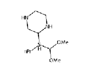 CCC[SiH](C1CNCCN1)C(OC)OC